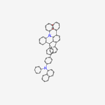 c1ccc(-c2ccc3c4c2N(c2ccccc2)c2ccccc2C4(c2ccccc2)c2cc(-c4ccc(N(c5ccccc5)c5cccc6ccccc56)cc4)ccc2-3)cc1